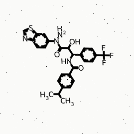 CC(C)c1ccc(C(=O)NC(c2ccc(C(F)(F)F)cc2)C(O)C(=O)N(N)c2ccc3ncsc3c2)cc1